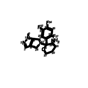 Cn1ncc2c1CN(C1(c3cc(F)c(F)cc3F)OCCCC1N)C2